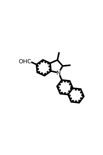 CC1c2cc(C=O)ccc2N(c2ccc3ccccc3c2)C1C